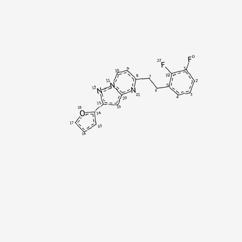 Fc1cccc(CCc2c[c]n3nc(-c4ccco4)cc3n2)c1F